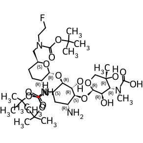 CN(C(=O)O)[C@@H]1[C@@H](O)[C@@H](O[C@@H]2[C@@H](O)[C@H](O[C@H]3O[C@H](CN(CCF)C(=O)OC(C)(C)C)CC[C@H]3NC(=O)OC(C)(C)C)[C@@H](NC(=O)OC(C)(C)C)C[C@H]2N)OC[C@]1(C)O